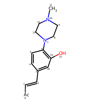 CC(=O)/C=C/c1ccc(N2CCN(C)CC2)c(O)c1